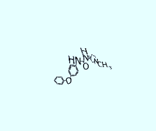 CN1CC[C@@H](NC(=O)Nc2ccc(Oc3ccccc3)cc2)C1